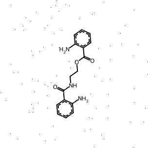 Nc1ccccc1C(=O)NCCOC(=O)c1ccccc1N